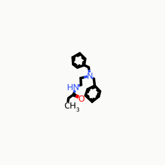 CCC(=O)NCCN(Cc1ccccc1)Cc1ccccc1